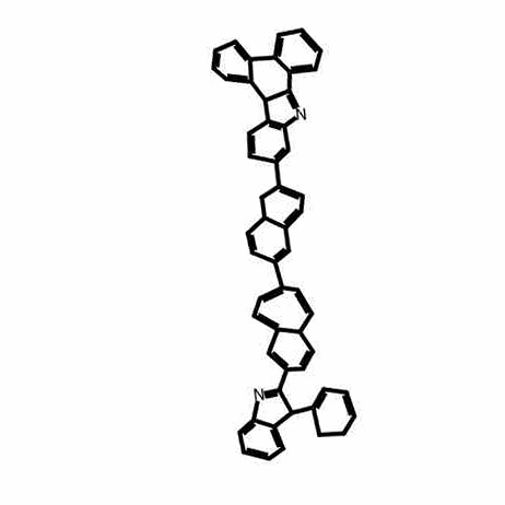 C1=CCCC(C2C(C3=CC4=CC=C(C5=CC6=CC=C(c7ccc8c(c7)N=C7c9ccccc9-c9ccccc9C78)CC6C=C5)C=CC4C=C3)=Nc3ccccc32)=C1